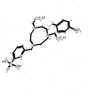 O=C(O)CN1CCN(Cc2cccc(P(=O)(O)O)n2)CCN(CC(=O)O)[C@@H](Cc2ccc([N+](=O)[O-])cc2)C1